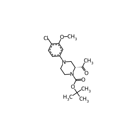 COc1cc(N2CCN(C(=O)OC(C)(C)C)[C@@H](C(C)=O)C2)ccc1Cl